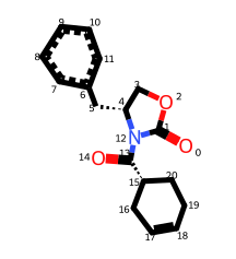 O=C1OC[C@@H](Cc2ccccc2)N1C(=O)[C@H]1CC=CCC1